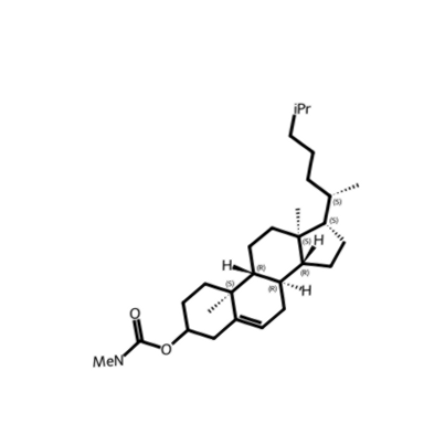 CNC(=O)OC1CC[C@]2(C)C(=CC[C@@H]3[C@H]4CC[C@@H]([C@@H](C)CCCC(C)C)[C@]4(C)CC[C@H]32)C1